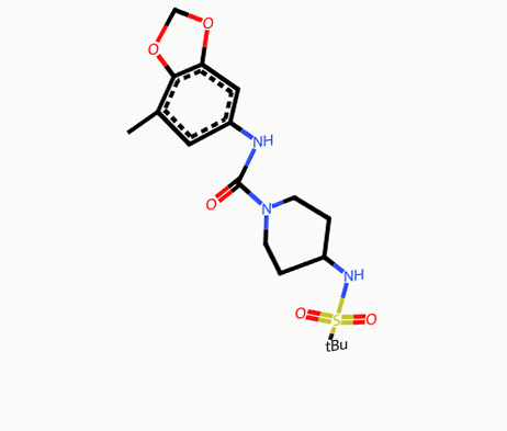 Cc1cc(NC(=O)N2CCC(NS(=O)(=O)C(C)(C)C)CC2)cc2c1OCO2